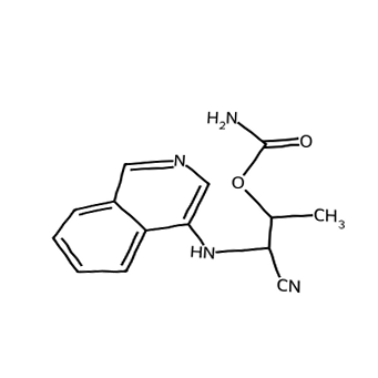 CC(OC(N)=O)C(C#N)Nc1cncc2ccccc12